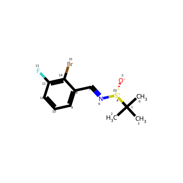 CC(C)(C)[S@@+]([O-])N=Cc1cccc(F)c1Br